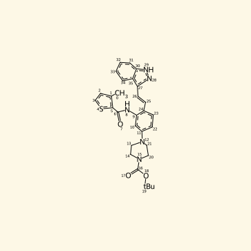 Cc1ccsc1C(=O)Nc1cc(N2CCN(C(=O)OC(C)(C)C)CC2)ccc1C=Cc1n[nH]c2ccccc12